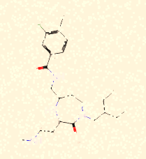 CCC(CC)CN1CCC(CNC(=O)c2ccc(C)c(Cl)c2)NC(CCNC)C1=O